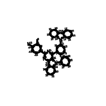 Cc1cc(-c2nc(-c3cccc(-n4c5ccccc5c5ccccc54)c3)c3c(n2)c2ccccc2n3-c2ccccc2)ccc1I